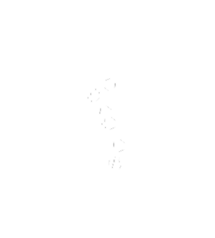 Cn1cncc1C(O)(c1ccc(Cl)cc1)c1ccc2nc(O)c(Cc3ccc(-n4cccn4)cc3)c(Cl)c2c1